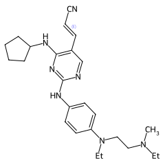 CCN(C)CCN(CC)c1ccc(Nc2ncc(/C=C/C#N)c(NC3CCCC3)n2)cc1